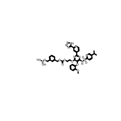 COc1ccccc1Oc1c(NS(=O)(=O)c2ccc(C(C)C)cn2)nc(-c2ccnc(-c3nnn[nH]3)c2)nc1OCCOC(=O)OCc1cccc(CON(O)O)c1